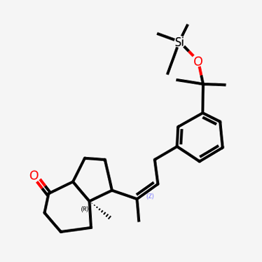 C/C(=C/Cc1cccc(C(C)(C)O[Si](C)(C)C)c1)C1CCC2C(=O)CCC[C@@]21C